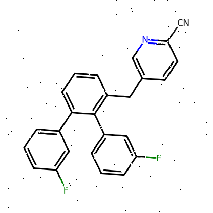 N#Cc1ccc(Cc2cccc(-c3cccc(F)c3)c2-c2cccc(F)c2)cn1